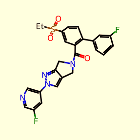 CCS(=O)(=O)c1ccc(-c2cccc(F)c2)c(C(=O)N2Cc3cn(-c4cncc(F)c4)nc3C2)c1